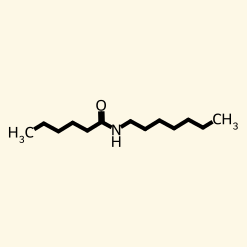 CCCCCCCNC(=O)CCCCC